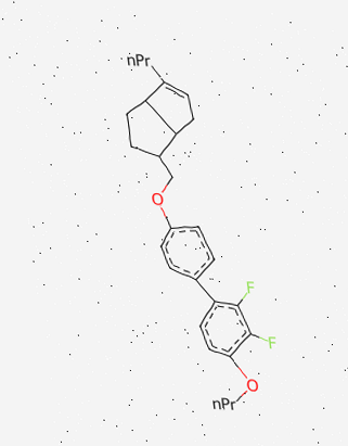 CCCOc1ccc(-c2ccc(OCC3CCC4C(CCC)=CCC34)cc2)c(F)c1F